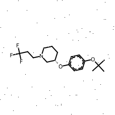 CC(C)(C)Oc1ccc(O[C@H]2CCCN(CCC(F)(F)F)C2)cc1